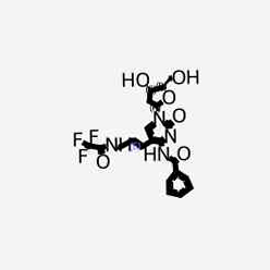 O=C(Nc1nc(=O)n([C@H]2C[C@H](O)[C@@H](CO)O2)cc1/C=C/CNC(=O)C(F)(F)F)c1ccccc1